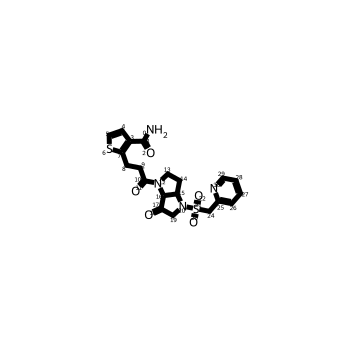 NC(=O)c1ccsc1C[CH]C(=O)N1CCC2C1C(=O)CN2S(=O)(=O)Cc1ccccn1